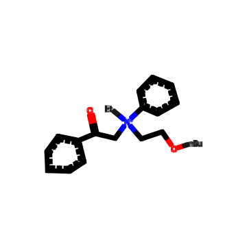 CCCCOCC[N+](CC)(CC(=O)c1ccccc1)c1ccccc1